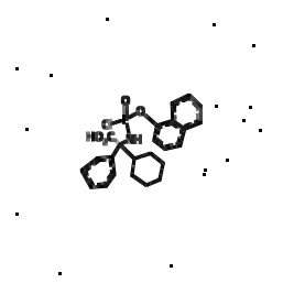 O=C(O)[C@@](NP(=O)(Cl)Oc1cccc2ccccc12)(c1ccccc1)C1CCCCC1